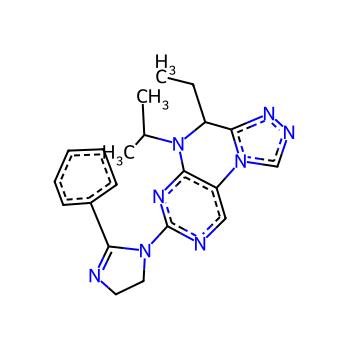 CCC1c2nncn2-c2cnc(N3CCN=C3c3ccccc3)nc2N1C(C)C